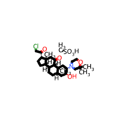 CC1(C)CN([C@H]2C[C@@]3(C)[C@@H](CC[C@H]4[C@@H]5CC[C@H](C(=O)CCl)[C@@]5(C)CC(=O)[C@@H]43)C[C@@H]2O)CCO1.CS(=O)(=O)O